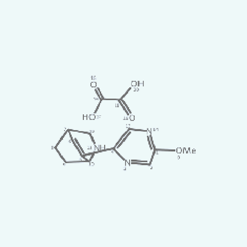 COc1cnc(C2=CC3CCC2NC3)cn1.O=C(O)C(=O)O